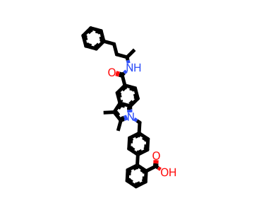 Cc1c(C)n(Cc2ccc(-c3ccccc3C(=O)O)cc2)c2ccc(C(=O)NC(C)CCc3ccccc3)cc12